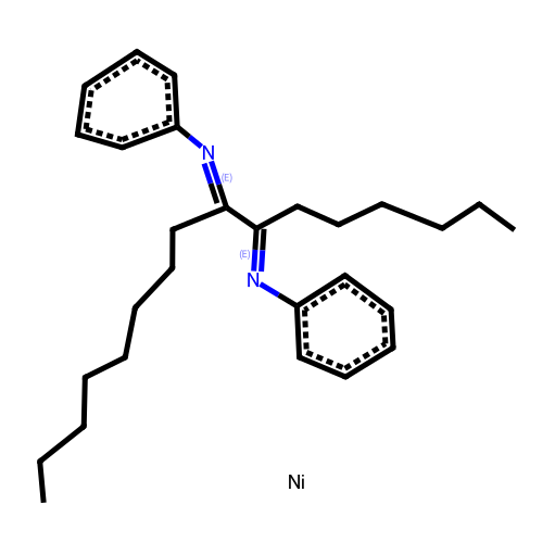 CCCCCCCCC(=N\c1ccccc1)/C(CCCCCC)=N/c1ccccc1.[Ni]